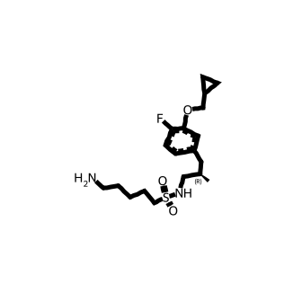 C[C@@H](CNS(=O)(=O)CCCCCN)Cc1ccc(F)c(OCC2CC2)c1